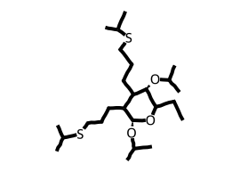 CCC1O[C@H](OC(C)C)C(CCCSC(C)C)C(CCCSC(C)C)[C@@H]1OC(C)C